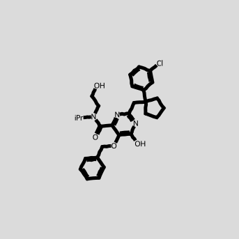 CC(C)N(CCO)C(=O)c1nc(CC2(c3cccc(Cl)c3)CCCC2)nc(O)c1OCc1ccccc1